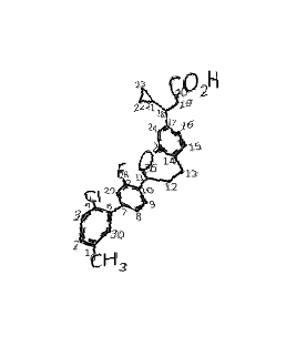 Cc1ccc(Cl)c(-c2ccc(C3CCc4ccc(C(CC(=O)O)C5CC5)cc4O3)c(F)c2)c1